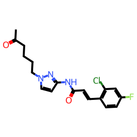 CC(=O)CCCCn1ccc(NC(=O)/C=C/c2ccc(F)cc2Cl)n1